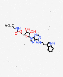 O=C(O)CNC(=O)OC[C@H]1O[C@@H](n2cnc3c(NCCc4c[nH]c5ccccc45)ncnc32)C(O)C1O